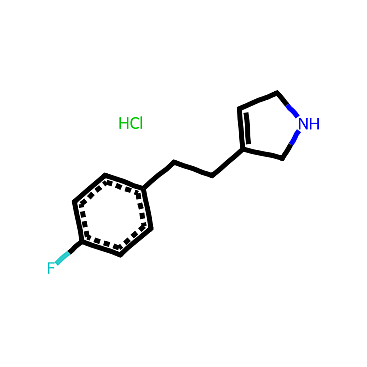 Cl.Fc1ccc(CCC2=CCNC2)cc1